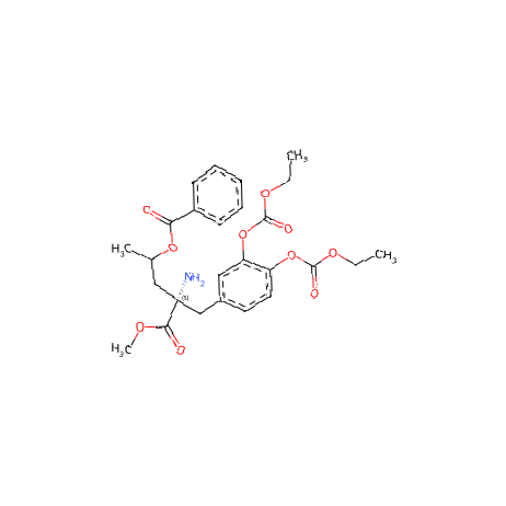 CCOC(=O)Oc1ccc(C[C@](N)(CC(C)OC(=O)c2ccccc2)C(=O)OC)cc1OC(=O)OCC